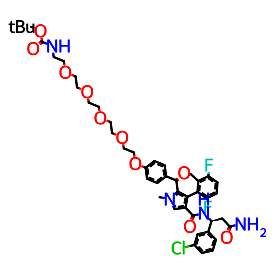 Cc1c(F)ccc(F)c1-c1c(C(=O)N[C@@H](CC(N)=O)c2cccc(Cl)c2)cn(C)c1C(=O)c1ccc(OCCOCCOCCOCCOCCNC(=O)OC(C)(C)C)cc1